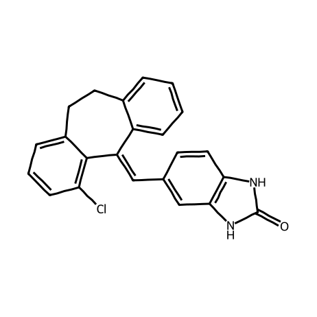 O=c1[nH]c2ccc(/C=C3\c4ccccc4CCc4cccc(Cl)c43)cc2[nH]1